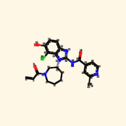 C=CC(=O)N1CCCC[C@@H](n2c(NC(=O)c3ccnc(C(F)(F)F)c3)nc3ccc(O)c(Cl)c32)C1